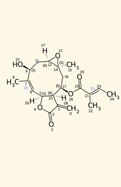 C=C1C(=O)O[C@H]2/C=C(/C)[C@@H](O)C[C@H]3O[C@@]3(C)C[C@@H](OC(=O)/C(C)=C/C)[C@@H]12